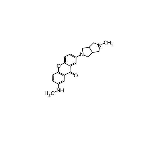 CNc1ccc2oc3ccc(N4CC5CN(C)CC5C4)cc3c(=O)c2c1